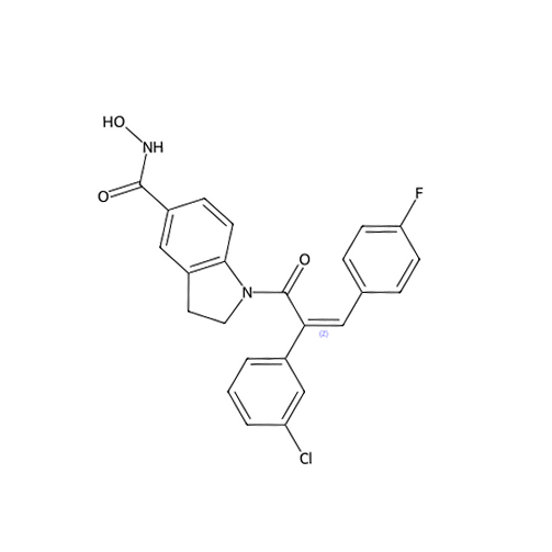 O=C(NO)c1ccc2c(c1)CCN2C(=O)/C(=C\c1ccc(F)cc1)c1cccc(Cl)c1